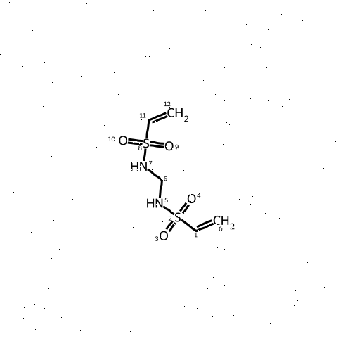 C=CS(=O)(=O)NCNS(=O)(=O)C=C